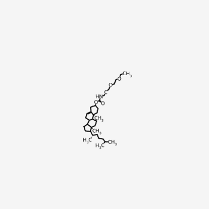 CCOCCOCCCNC(=O)O[C@H]1CC[C@@]2(C)C(=CCC3C4CCC([C@@H](C)CCCC(C)C)[C@@]4(C)CCC32)C1